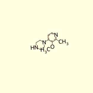 COc1c(N2CCNCC2)ccnc1C